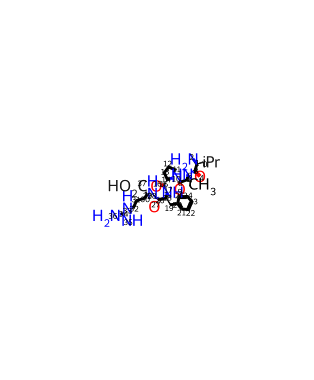 CC(C)[C@H](N)C(=O)N[C@@H](C)C(=O)N1CCC[C@H]1C(=O)N[C@@H](Cc1ccccc1)C(=O)N[C@@H](CCCNC(=N)N)C(=O)O